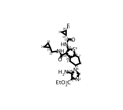 CCOC(=O)c1ncn([C@H]2CCc3sc(NC(=O)[C@@H]4C[C@@H]4F)c(C(=O)NCC4CC4)c3C2)c1N